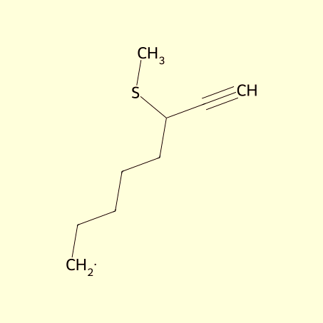 C#CC(CCCC[CH2])SC